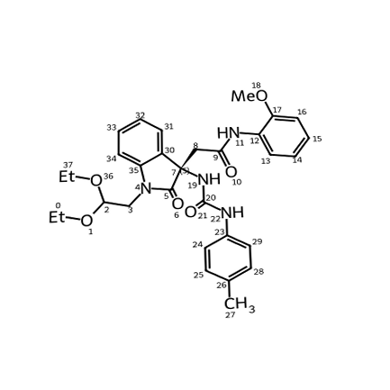 CCOC(CN1C(=O)[C@@](CC(=O)Nc2ccccc2OC)(NC(=O)Nc2ccc(C)cc2)c2ccccc21)OCC